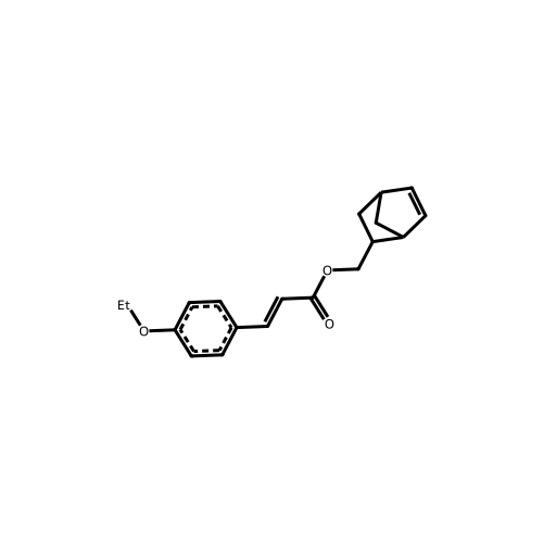 CCOc1ccc(C=CC(=O)OCC2CC3C=CC2C3)cc1